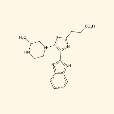 CC1CN(c2sc(CCC(=O)O)nc2-c2nc3ccccc3[nH]2)CCN1